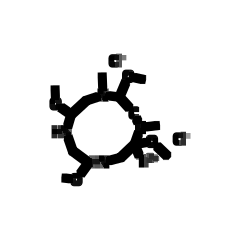 COC1CNC(OC)CN(C)C(OC)CN(C)[C]([Ti+2])(OC)CN1.[Cl-].[Cl-]